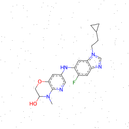 CN1c2ncc(Nc3cc4c(cc3F)ncn4CCC3CC3)cc2OCC1O